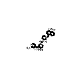 COc1ccc(CN2CCC[C@@H](NC(=O)N3CCC4=C(C3)C(c3ccnc(C)c3)NN4)C2)c2ccccc12